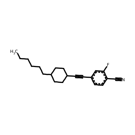 CCCCCCC1CCC(C#Cc2ccc(C#N)c(F)c2)CC1